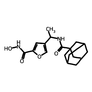 CC(NC(=O)C12CC3CC(CC(C3)C1)C2)c1coc(C(=O)NO)c1